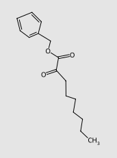 CCCCCCCC(=O)C(=O)OCc1ccccc1